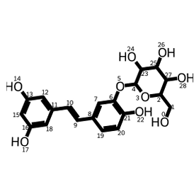 OCC1OC(Oc2cc(C=Cc3cc(O)cc(O)c3)ccc2O)C(O)C(O)C1O